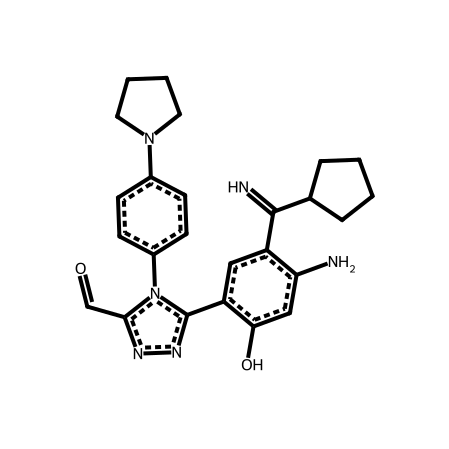 N=C(c1cc(-c2nnc(C=O)n2-c2ccc(N3CCCC3)cc2)c(O)cc1N)C1CCCC1